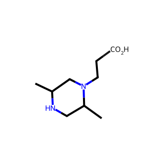 CC1CN(CCC(=O)O)C(C)CN1